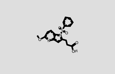 COc1ccc2c(cc(CCC(=O)O)n2S(=O)(=O)c2ccccc2)n1